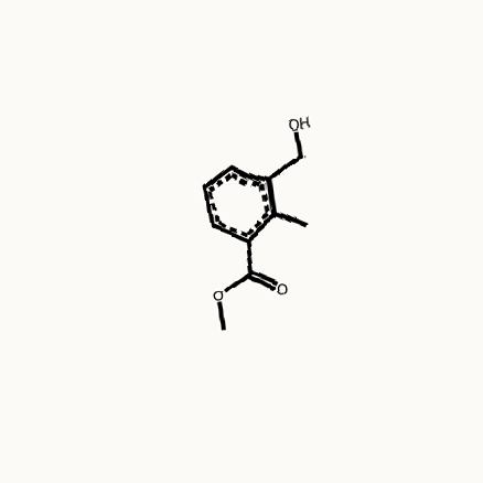 COC(=O)c1cccc([CH]O)c1C